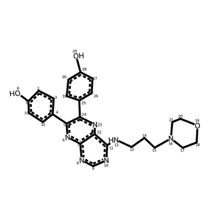 Oc1ccc(-c2nc3ncnc(NCCCN4CCOCC4)c3nc2-c2ccc(O)cc2)cc1